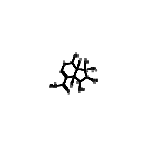 COC(=O)C1=COC(O)[C@H]2[C@@H]1[C@H](OC(C)=O)[C@H](O)[C@]2(C)O